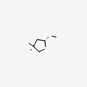 C[C@]1(O)CN[C@H](OC=O)C1